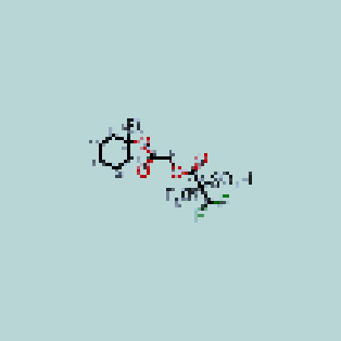 CCC1(OC(=O)COC(=O)C(C(F)F)(C(F)(F)F)S(=O)(=O)O)CCCCC1